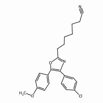 COc1ccc(-c2oc(CCCCCCC#N)nc2-c2ccc(Cl)cc2)cc1